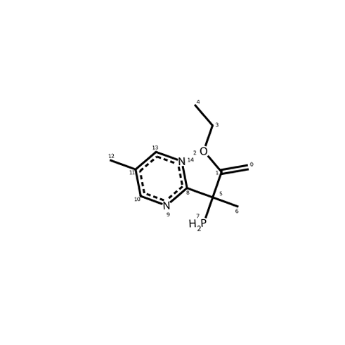 C=C(OCC)C(C)(P)c1ncc(C)cn1